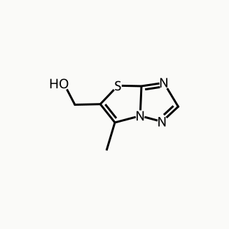 Cc1c(CO)sc2ncnn12